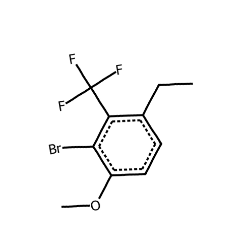 CCc1ccc(OC)c(Br)c1C(F)(F)F